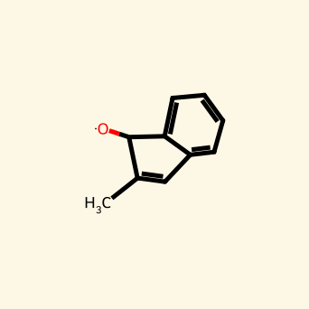 CC1=Cc2ccccc2C1[O]